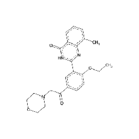 CCOc1ccc(C(=O)CN2CCOCC2)cc1-c1nc2c(C)cccc2c(=O)[nH]1